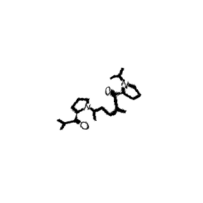 CC(C)C(=O)[C@H]1CCCN1C(C)CCC(C)C(=O)[C@@H]1CCCN1C(C)C